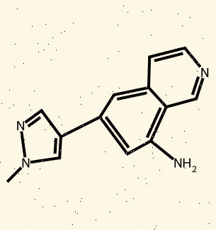 Cn1cc(-c2cc(N)c3cnccc3c2)cn1